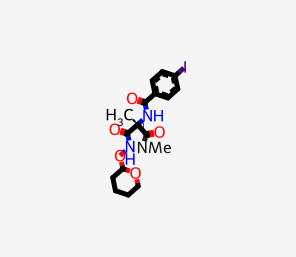 CNC(=O)[C@](C)(NC(=O)c1ccc(I)cc1)C(=O)NOC1CCCCO1